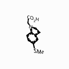 CSc1ccc2c(ccn2CC(=O)O)c1